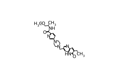 CCc1cc2ncc(CN3CCN(c4ccc(C(=O)N[C@H](C)COC)nc4)CC3)cc2[nH]c1=O